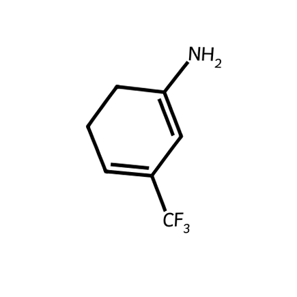 NC1=CC(C(F)(F)F)=CCC1